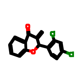 C=C1C(=O)c2ccccc2OC1c1ccc(Cl)cc1Cl